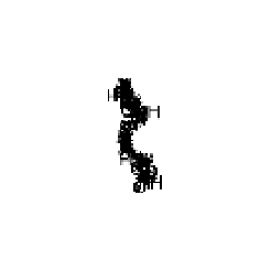 O=C1CCC(N2C(=O)c3cccc(NCCCC(=O)N4CCN(Cc5ccc(-c6cnc7[nH]cc(C(=O)c8c(F)ccc(NS(=O)(=O)N9CCCC9)c8F)c7c6)cc5)CC4)c3C2=O)C(=O)N1